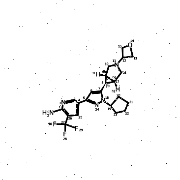 Nc1ncc(-c2cc([C@H]3[C@@H]4CN(C5COC5)C[C@@H]43)n(C3CCCC3)n2)cc1C(F)(F)F